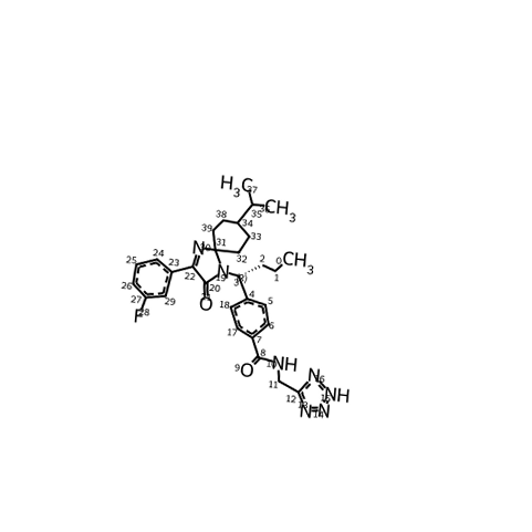 CCC[C@H](c1ccc(C(=O)NCc2nn[nH]n2)cc1)N1C(=O)C(c2cccc(F)c2)=NC12CCC(C(C)C)CC2